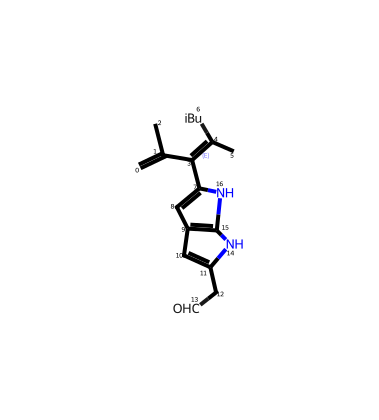 C=C(C)/C(=C(/C)C(C)CC)c1cc2cc(CC=O)[nH]c2[nH]1